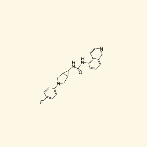 O=C(Nc1cccc2cnccc12)NC1C2CN(c3ccc(F)cc3)CC21